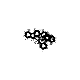 C[SiH](C)[Ti]([CH2]c1ccccc1)([CH2]c1ccccc1)([c]1cccc2c1Cc1ccccc1-2)[c]1cccc2c1Cc1ccccc1-2